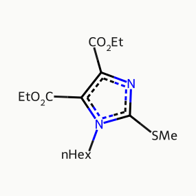 CCCCCCn1c(SC)nc(C(=O)OCC)c1C(=O)OCC